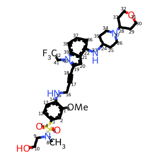 COc1cc(S(=O)(=O)N(C)CCO)ccc1NCC#Cc1cc2c(NC3CCN(C4CCOCC4)CC3)cccc2n1CC(F)(F)F